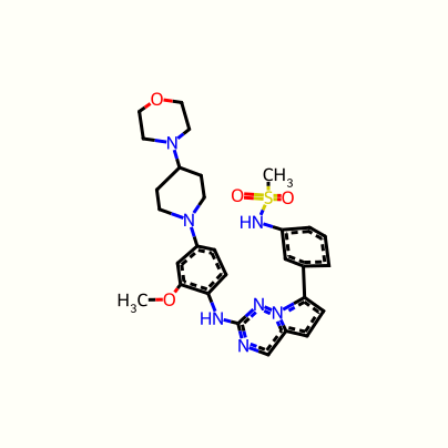 COc1cc(N2CCC(N3CCOCC3)CC2)ccc1Nc1ncc2ccc(-c3cccc(NS(C)(=O)=O)c3)n2n1